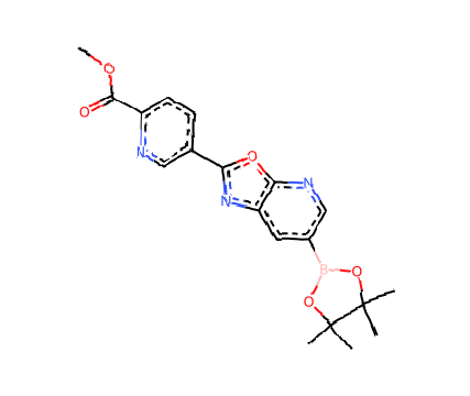 COC(=O)c1ccc(-c2nc3cc(B4OC(C)(C)C(C)(C)O4)cnc3o2)cn1